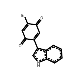 O=C1C=C(c2c[nH]c3ccccc23)C(=O)C=C1Br